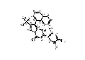 O=c1cc(-c2cc(F)c(F)cc2F)[nH]c2c(-c3cccc4ccccc34)c(C(F)(F)F)nn12